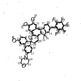 COc1ccc(C2(c3ccc(N4CCOCC4)cc3)C=Cc3c4c(c5cc(OC)c(OC)cc5c3O2)-c2ccc(-c3c(F)c(F)c(F)c(F)c3F)cc2C4(C)C)cc1